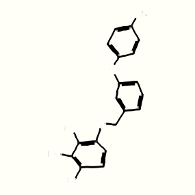 CCCc1c(OCc2cccc(Oc3ccc(C#N)cc3)c2)ccc(C(C)=O)c1O